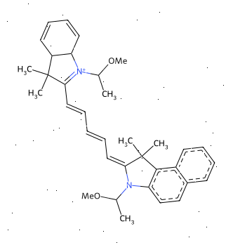 COC(C)N1/C(=C/C=C/C=C/C2=[N+](C(C)OC)C3C=CC=CC3C2(C)C)C(C)(C)c2c1ccc1ccccc21